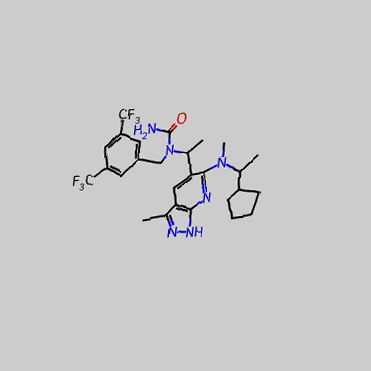 Cc1n[nH]c2nc(N(C)C(C)C3CCCC3)c(C(C)N(Cc3cc(C(F)(F)F)cc(C(F)(F)F)c3)C(N)=O)cc12